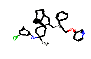 O=C(O)C1(Nc2cccc(Cl)c2)CCC2(CC1)c1ccccc1CC2C[C@@H](COc1cccnc1)c1ccccc1